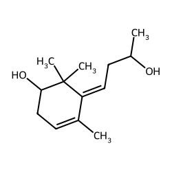 CC1=CCC(O)C(C)(C)/C1=C\CC(C)O